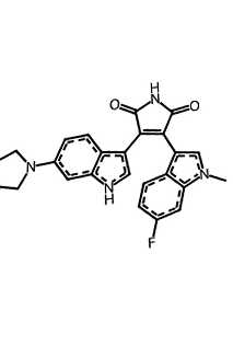 Cn1cc(C2=C(c3c[nH]c4cc(N5CCCC5)ccc34)C(=O)NC2=O)c2ccc(F)cc21